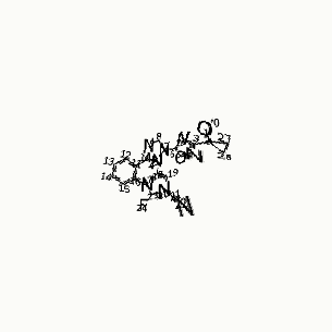 COC1(c2noc(N3CN=C4c5ccccc5N5C(=CN(C#N)C5F)N43)n2)CC1